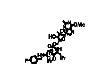 COc1nc(C)nc2c1ncn2[C@@H]1O[C@H](COP(=O)(N[C@@H](CC(C)C)C(=O)OC(C)C)OCC(=O)NCc2ccc(F)cc2)C(O)[C@]1(C)O